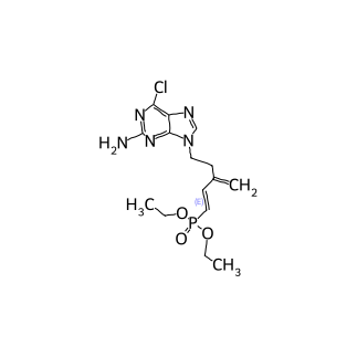 C=C(/C=C/P(=O)(OCC)OCC)CCn1cnc2c(Cl)nc(N)nc21